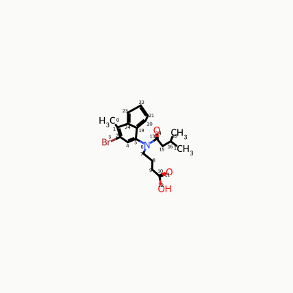 Cc1c(Br)cc(N(CCCC(=O)O)C(=O)CC(C)C)c2ccccc12